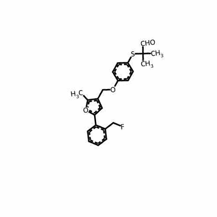 Cc1oc(-c2ccccc2CF)cc1COc1ccc(SC(C)(C)C=O)cc1